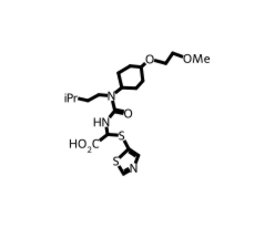 COCCOC1CCC(N(CCC(C)C)C(=O)NC(Sc2cncs2)C(=O)O)CC1